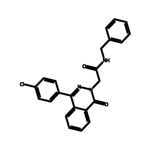 O=C(Cn1nc(-c2ccc(Cl)cc2)c2ccccc2c1=O)NCc1ccccc1